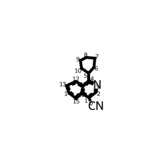 N#Cc1cnc(C2CCCCC2)c2ccccc12